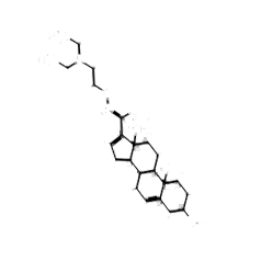 CCN(CC)CCO/N=C(\C)C1=CCC2C3CC=C4CC(O)CCC4(C)C3CCC12C